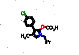 Cc1cn(CC(C)C)c(OC(=O)O)c1-c1ccc(Cl)cc1